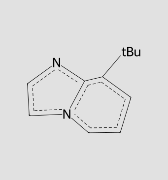 CC(C)(C)c1cccn2ccnc12